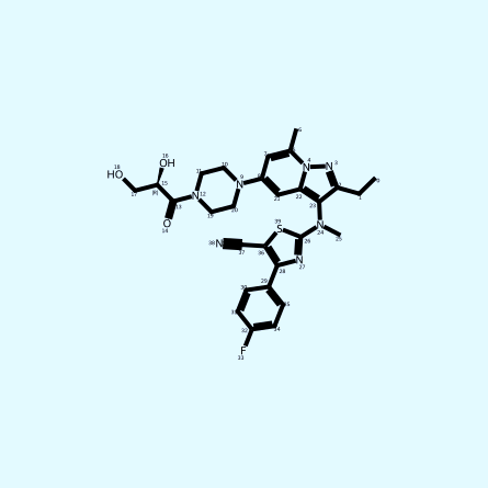 CCc1nn2c(C)cc(N3CCN(C(=O)[C@H](O)CO)CC3)cc2c1N(C)c1nc(-c2ccc(F)cc2)c(C#N)s1